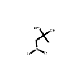 CCCC(C)(O)CN(CC)CC